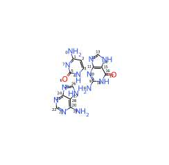 Nc1cc[nH]c(=O)n1.Nc1nc2nc[nH]c2c(=O)[nH]1.Nc1ncnc2nc[nH]c12